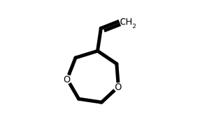 C=CC1COCCOC1